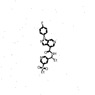 CC[C@H](NC(=O)c1cncc2c1cnn2-c1ccc(F)cc1)c1cncc(S(=O)(=O)CC)c1